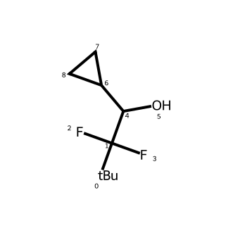 CC(C)(C)C(F)(F)C(O)C1CC1